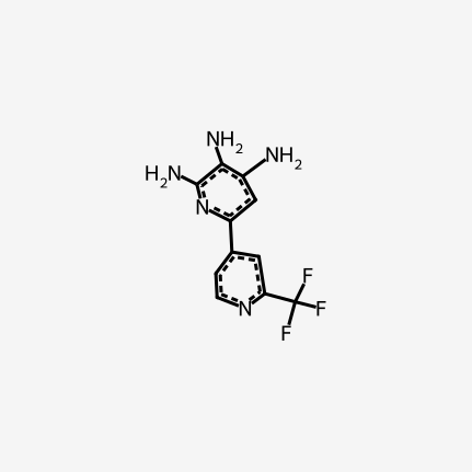 Nc1cc(-c2ccnc(C(F)(F)F)c2)nc(N)c1N